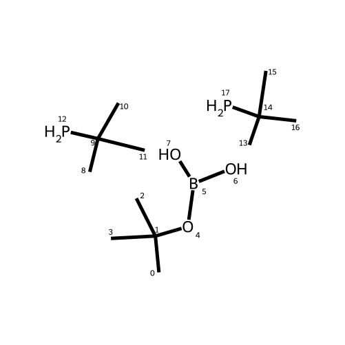 CC(C)(C)OB(O)O.CC(C)(C)P.CC(C)(C)P